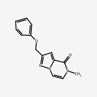 Cn1ccn2nc(COc3ccccc3)cc2c1=O